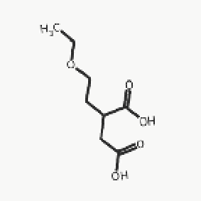 CCOCCC(CC(=O)O)C(=O)O